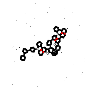 c1ccc(-c2cccc(-c3ccc(N(c4ccccc4)c4ccccc4-c4ccc5oc6c7ccccc7cc(-c7cccc(-c8ccc(N(c9ccccc9-c9ccccc9)c9ccccc9-c9ccc%10oc%11c%12ccccc%12ccc%11c%10c9)cc8)c7)c6c5c4)cc3)c2)cc1